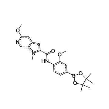 COc1cc2cc(C(=O)Nc3ccc(B4OC(C)(C)C(C)(C)O4)cc3OC)n(C)c2cn1